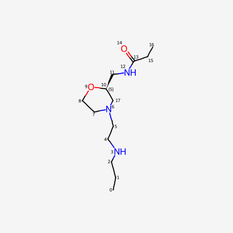 CCCNCCN1CCO[C@@H](CNC(=O)CC)C1